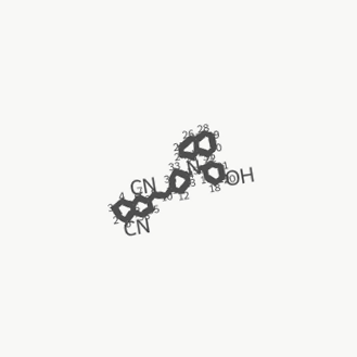 N#Cc1cccc2c(C#N)c(C=Cc3ccc(N(c4ccc(O)cc4)c4cccc5ccccc45)cc3)ccc12